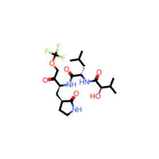 CC(C)C[C@H](NC(=O)[C@H](O)C(C)C)C(=O)N[C@@H](C[C@@H]1CCNC1=O)C(=O)COC(F)(F)F